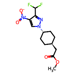 COC(=O)C[C@H]1CC[C@H](n2cc([N+](=O)[O-])c(C(F)F)n2)CC1